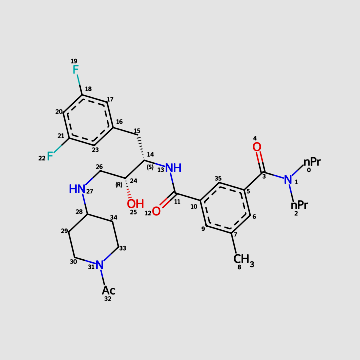 CCCN(CCC)C(=O)c1cc(C)cc(C(=O)N[C@@H](Cc2cc(F)cc(F)c2)[C@H](O)CNC2CCN(C(C)=O)CC2)c1